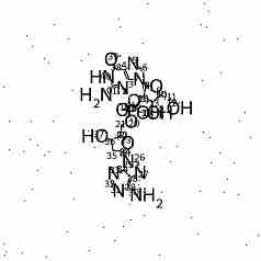 Nc1nc2c(ncn2[C@@H]2O[C@H](CO)C(O)[C@@H]2OP(=O)(O)OC[C@H]2O[C@@H](n3cnc4c(N)ncnc43)CC2O)c(=O)[nH]1